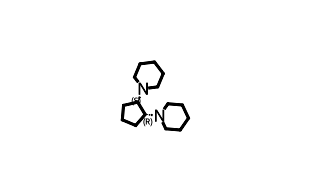 C1CCN([C@@H]2CCC[C@@H]2N2CCCCC2)CC1